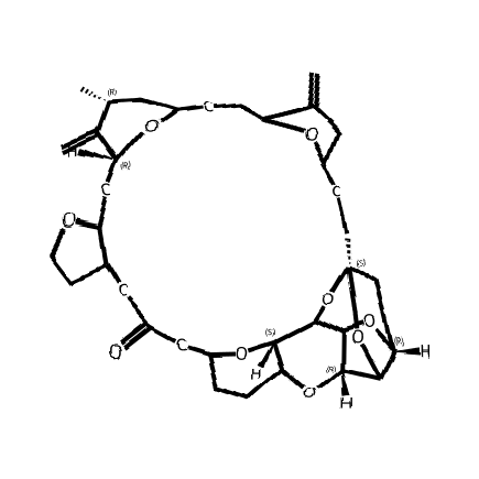 C=C1CC2CC[C@@]34C[C@H]5OC6C(O3)[C@H]3OC(CCC3O[C@H]6C5O4)CC(=O)CC3CCOC3C[C@H]3OC(CCC1O2)C[C@@H](C)C3=C